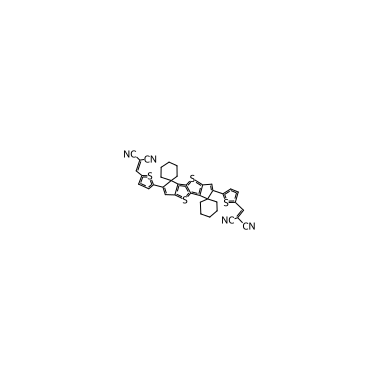 N#CC(C#N)=Cc1ccc(C2=Cc3sc4c5c(sc4c3C23CCCCC3)C=C(c2ccc(C=C(C#N)C#N)s2)C52CCCCC2)s1